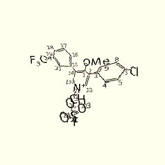 COc1c(-c2ccc(Cl)cc2)c[n+](C)cc1-c1cccc(C(F)(F)F)c1.O=S(=O)([O-])F